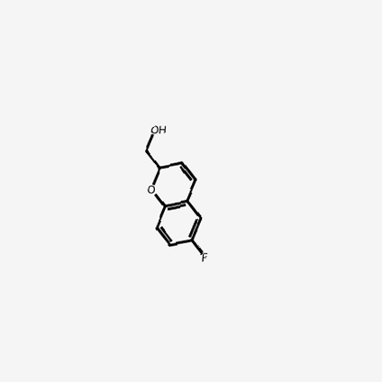 OCC1C=Cc2cc(F)ccc2O1